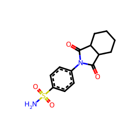 NS(=O)(=O)c1ccc(N2C(=O)C3CCCCC3C2=O)cc1